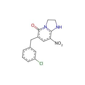 O=c1c(Cc2cccc(Cl)c2)cc([N+](=O)[O-])c2n1CCN2